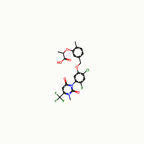 Cc1ccc(COc2cc(-n3c(=O)cc(C(F)(F)F)n(C)c3=O)c(F)cc2Cl)cc1OC(C)C(=O)O